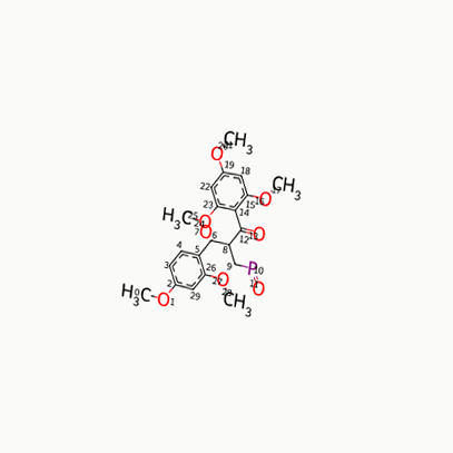 COc1ccc(C(=O)C(CP=O)C(=O)c2c(OC)cc(OC)cc2OC)c(OC)c1